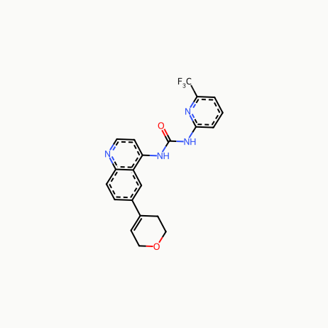 O=C(Nc1cccc(C(F)(F)F)n1)Nc1ccnc2ccc(C3=CCOCC3)cc12